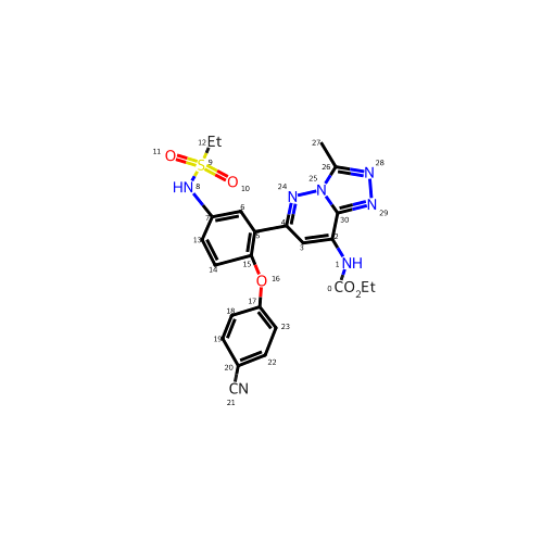 CCOC(=O)Nc1cc(-c2cc(NS(=O)(=O)CC)ccc2Oc2ccc(C#N)cc2)nn2c(C)nnc12